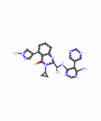 C[C@H](Nc1ncnc(N)c1-c1cncnc1)c1nc2cccc(-c3cnn(C)c3)c2c(=O)n1C1CC1